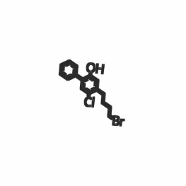 Oc1cc(CCCCBr)c(Cl)cc1-c1ccccc1